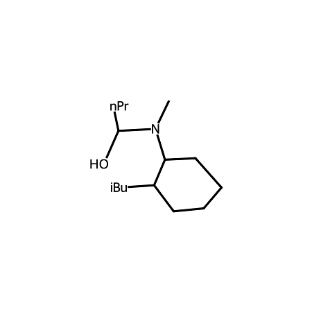 CCCC(O)N(C)C1CCCCC1C(C)CC